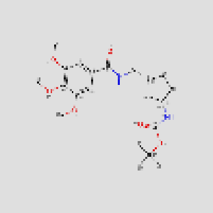 COc1cc(C(=O)NC[C@@H]2CC[C@H](NC(=O)OC(C)(C)C)C2)cc(OC)c1OC